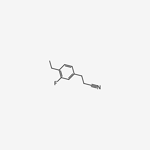 CCc1ccc(CCC#N)cc1F